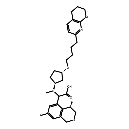 C[C@H]1COCc2cc(F)cc(C(C(=O)O)N(C)[C@H]3CC[C@H](OCCCCc4ccc5c(n4)NCCC5)C3)c21